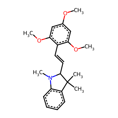 COc1cc(OC)c(C=CC2N(C)c3ccccc3C2(C)C)c(OC)c1